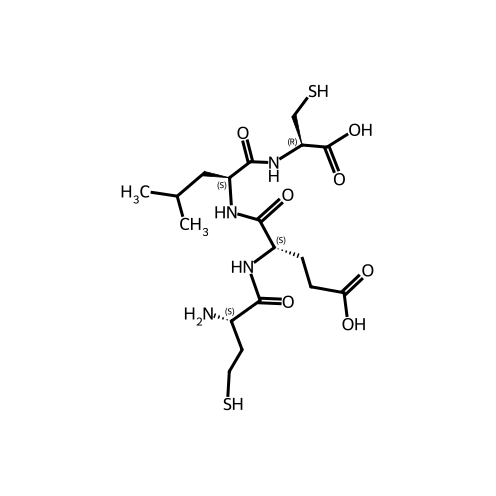 CC(C)C[C@H](NC(=O)[C@H](CCC(=O)O)NC(=O)[C@@H](N)CCS)C(=O)N[C@@H](CS)C(=O)O